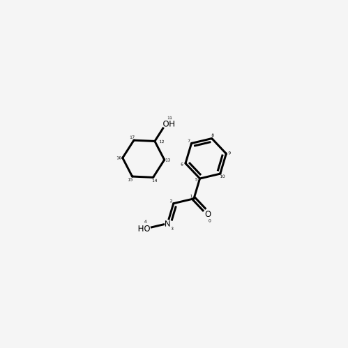 O=C(C=NO)c1ccccc1.OC1CCCCC1